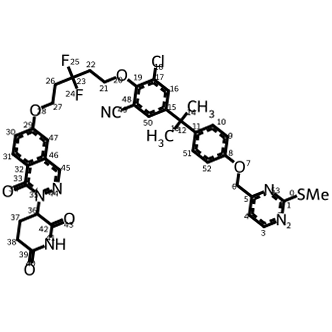 CSc1nccc(COc2ccc(C(C)(C)c3cc(Cl)c(OCCC(F)(F)CCOc4ccc5c(=O)n(C6CCC(=O)NC6=O)ncc5c4)c(C#N)c3)cc2)n1